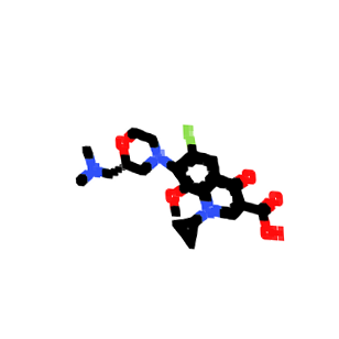 COc1c(N2CCO[C@@H](CN(C)C)C2)c(F)cc2c(=O)c(C(=O)O)cn(C3CC3)c12